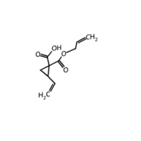 C=CCOC(=O)C1(C(=O)O)CC1C=C